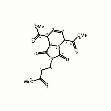 COC(=O)CCn1c(=O)n2n(c1=O)C(C(=O)OC)C=CC2C(=O)OC